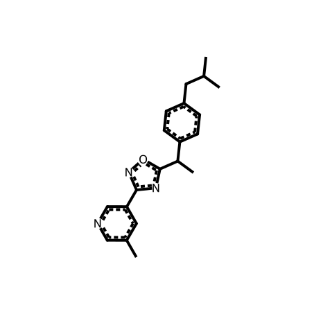 Cc1cncc(-c2noc(C(C)c3ccc(CC(C)C)cc3)n2)c1